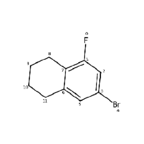 Fc1cc(Br)cc2c1CCCC2